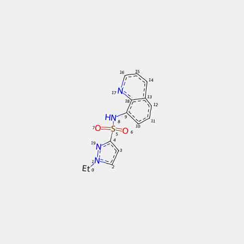 CCn1ccc(S(=O)(=O)Nc2cccc3cccnc23)n1